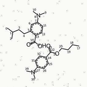 CC(C)CCc1cc(N(C)C)ccc1C(=O)O.CCCCOC(=O)c1ccc(N(C)C)cc1